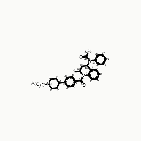 CCOC(=O)N1CCC(c2ccc(C(=O)N3c4ccccc4C(N(C(=O)CC)c4ccccc4)CC3C)cc2)CC1